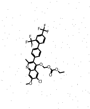 CCOC(=O)OCOc1c(-c2ccc(-c3ccc(C(F)(F)F)cc3C(F)(F)F)cc2)c(C)nc2cc(OC)c(Cl)cc12